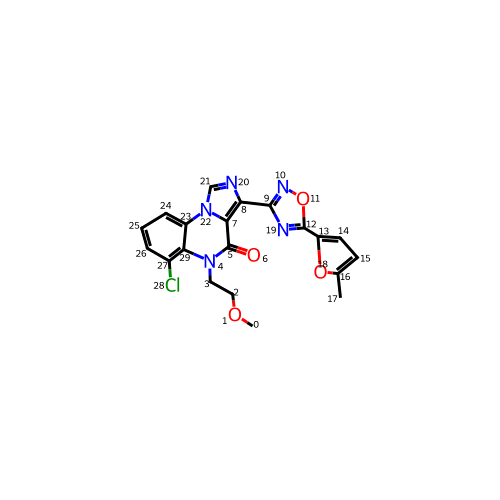 COCCn1c(=O)c2c(-c3noc(-c4ccc(C)o4)n3)ncn2c2cccc(Cl)c21